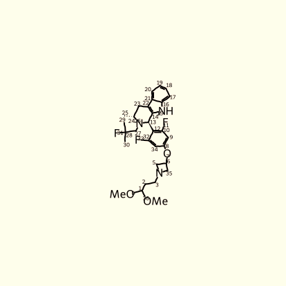 COC(CCN1CC(Oc2cc(F)c([C@@H]3c4[nH]c5ccccc5c4C[C@@H](C)N3CC(C)(C)F)c(F)c2)C1)OC